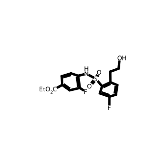 CCOC(=O)c1ccc(NS(=O)(=O)c2cc(F)ccc2CCO)c(F)c1